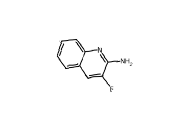 Nc1nc2c[c]ccc2cc1F